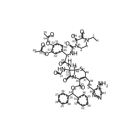 CCN1CCN(C(=O)NC(C(=O)N[C@]2(NC=O)C(=O)N3C(C(=O)OC(c4ccccc4)c4ccccc4)=C(CSc4nncn4N)CS[C@H]32)c2ccc(OC(C)=O)c(OC(C)=O)c2)C(=O)C1=O